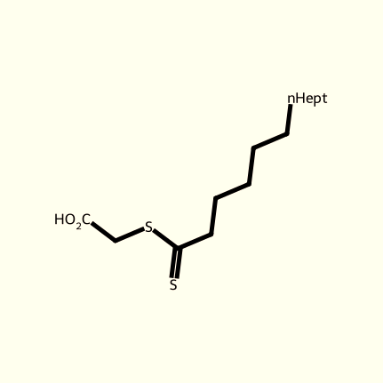 CCCCCCCCCCCCC(=S)SCC(=O)O